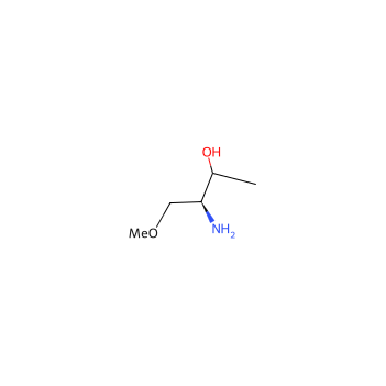 COC[C@H](N)C(C)O